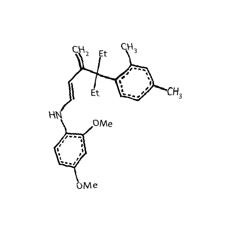 C=C(C=CNc1ccc(OC)cc1OC)C(CC)(CC)c1ccc(C)cc1C